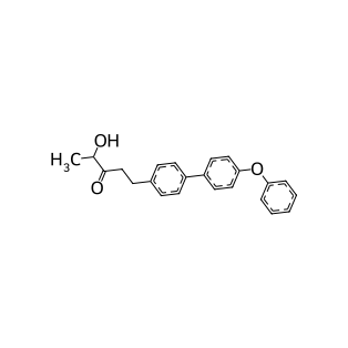 CC(O)C(=O)CCc1ccc(-c2ccc(Oc3ccccc3)cc2)cc1